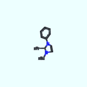 CCCCN1C=CN(c2ccccc2)C1CCC